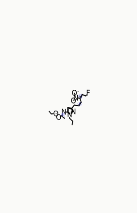 CCCn1nc(C/C=C\C(=C/CF)[N+](=O)[O-])cc1/N=C(\C)OOCC